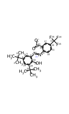 CC(C)(C)c1cc(/N=N/c2ccc(C(F)(F)F)cc2[N+](=O)[O-])c(O)c(C(C)(C)C)c1